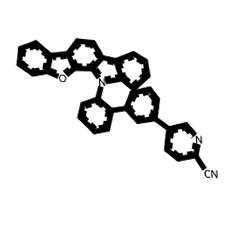 N#Cc1ccc(-c2cccc(-c3ccccc3-n3c4ccccc4c4ccc5c6ccccc6oc5c43)c2)cn1